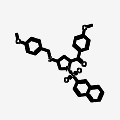 COc1ccc(CSC2CC(C(=O)c3ccc(OC)cc3)N(S(=O)(=O)c3ccc4ccccc4c3)C2)cc1